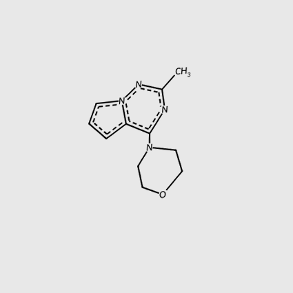 Cc1nc(N2CCOCC2)c2cccn2n1